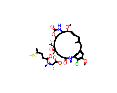 COc1cc2cc(c1Cl)N(C)C(=O)C[C@H](OC(=O)[C@H](C)N(C)C(=O)CCC(C)S)[C@]1(C)O[C@H]1[C@H](C)C1CC(NC(=O)O1)[C@H](OC)/C=C/C=C(\C)C2